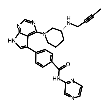 CC#CCN[C@@H]1CCCN(c2ncnc3[nH]cc(-c4ccc(C(=O)Nc5cnccn5)cc4)c23)C1